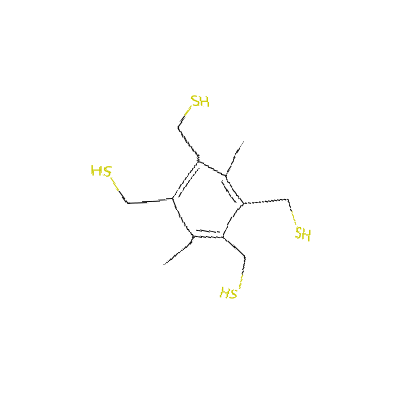 Cc1c(CS)c(CS)c(C)c(CS)c1CS